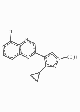 O=C(O)n1cc(-c2cnc3c(Cl)cccc3n2)c(C2CC2)n1